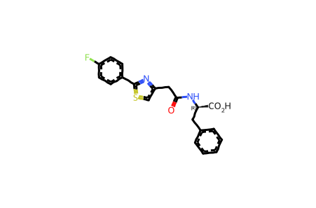 O=C(Cc1csc(-c2ccc(F)cc2)n1)N[C@H](Cc1ccccc1)C(=O)O